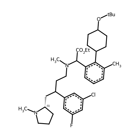 CCOC(=O)C(c1cccc(C)c1C1CCC(OC(C)(C)C)CC1)N(C)CCC(C[C@@H]1CCCN1C)c1cc(F)cc(Cl)c1